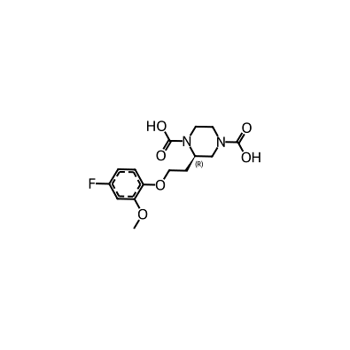 COc1cc(F)ccc1OCC[C@@H]1CN(C(=O)O)CCN1C(=O)O